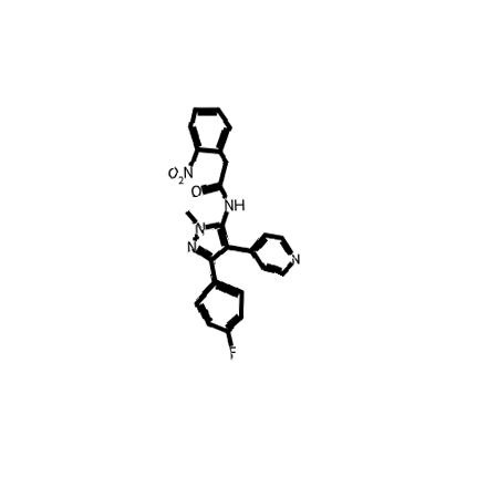 Cn1nc(-c2ccc(F)cc2)c(-c2ccncc2)c1NC(=O)Cc1ccccc1[N+](=O)[O-]